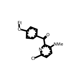 CCOc1ccc(C(=O)c2nc(Cl)ccc2NC)cc1